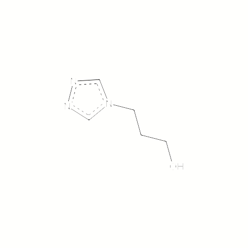 OCCCn1cnnc1